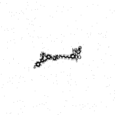 Cn1c(=O)n(C2CCC(=O)NC2=O)c2ccc(CCCCCCN3CC4(CCN(c5ccc6c(c5)Cn5cc(-c7ccc(F)cc7)cc5-c5nccn5-6)C4)C3)cc21